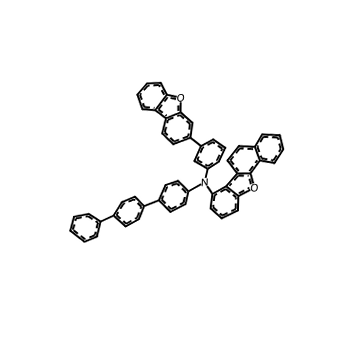 c1ccc(-c2ccc(-c3ccc(N(c4cccc(-c5ccc6c(c5)oc5ccccc56)c4)c4cccc5oc6c7ccccc7ccc6c45)cc3)cc2)cc1